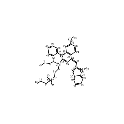 CCCCN(CCC[N+](C)(C)CCC)C1=CC(=Cc2sc3ccccc3[n+]2C)c2ccc(OC)cc2N1c1ccccc1